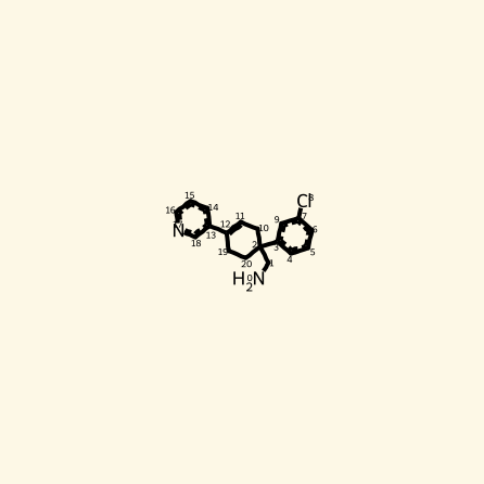 NCC1(c2cccc(Cl)c2)CC=C(c2cccnc2)CC1